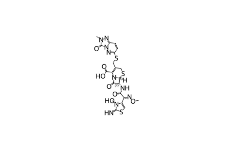 CON=C(C(=O)N[C@@H]1C(=O)N2C(C(=O)O)=C(CSc3ccc4nn(C)c(=O)n4n3)CS[C@@H]12)c1csc(=N)n1O